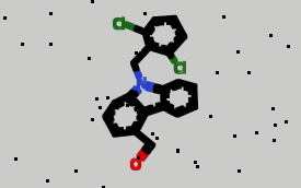 O=Cc1cccc2c1c1ccccc1n2Cc1c(Cl)cccc1Cl